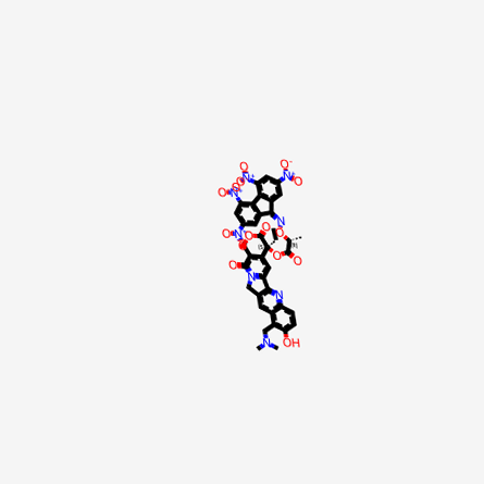 CC[C@@]1(OC(=O)[C@@H](C)ON=C2c3cc([N+](=O)[O-])cc([N+](=O)[O-])c3-c3c2cc([N+](=O)[O-])cc3[N+](=O)[O-])C(=O)OCc2c1cc1n(c2=O)Cc2cc3c(CN(C)C)c(O)ccc3nc2-1